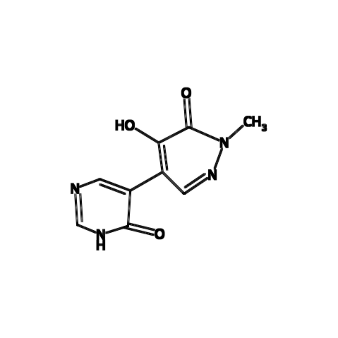 Cn1ncc(-c2cnc[nH]c2=O)c(O)c1=O